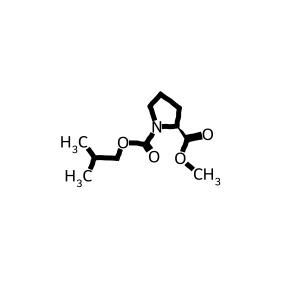 COC(=O)[C@@H]1CCCN1C(=O)OCC(C)C